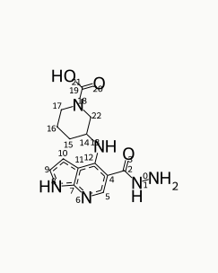 NNC(=O)c1cnc2[nH]ccc2c1NC1CCCN(C(=O)O)C1